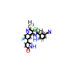 Cc1nc2cc(F)c(-c3ccc(=O)[nH]c3)cc2c(N[C@H](C)c2cc(C#N)ccc2F)c1Cl